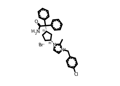 Cc1n([C@@H]2CC[C@H](C(C(N)=O)(c3ccccc3)c3ccccc3)C2)cc[n+]1Cc1ccc(Cl)cc1.[Br-]